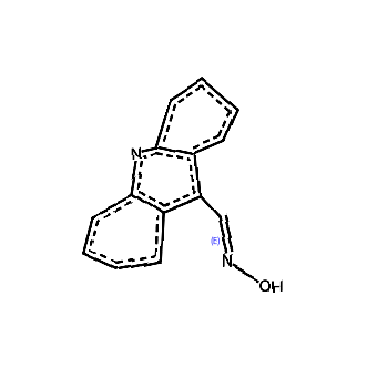 O/N=C/c1c2ccccc2nc2ccccc12